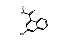 NNC(=O)c1cc(O)cc2ccccc12